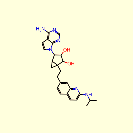 CC(C)Nc1ccc2ccc(CCC34CC3C(n3ccc5c(N)ncnc53)C(O)C4O)cc2n1